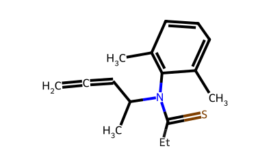 C=C=CC(C)N(C(=S)CC)c1c(C)cccc1C